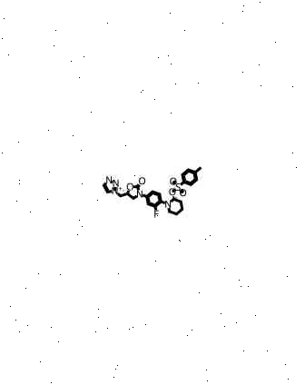 Cc1ccc(S(=O)(=O)O[C@@H]2CCCCN2c2ccc(N3CC(C[N+]4C=CN=N4)OC3=O)cc2F)cc1